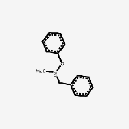 CO[SiH](Cc1ccccc1)Oc1ccccc1